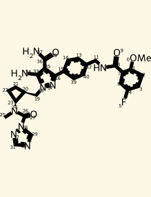 COc1ccc(F)cc1C(=O)NCc1ccc(-c2nn(C[C@@H]3CC[C@H]3N(C)C(=O)n3cncn3)c(N)c2C(N)=O)cc1